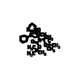 CC(C)(C)OC(=O)N(C(=O)OC(C)(C)C)C(C)(CN(c1ccccc1)c1ncccn1)C(=O)O